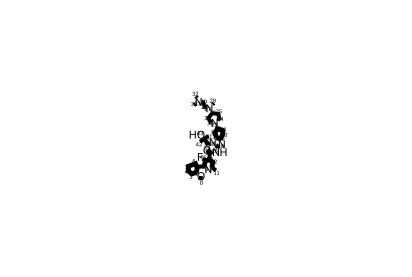 COc1ccccc1-c1nc(C)cc(C(=O)Nc2nc3ccc(N4CCC(N(C)CCN(C)C)CC4)cc3n2CC(C)(C)O)c1F